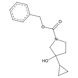 O=C(OCc1ccccc1)N1CCC(O)(C2CC2)C1